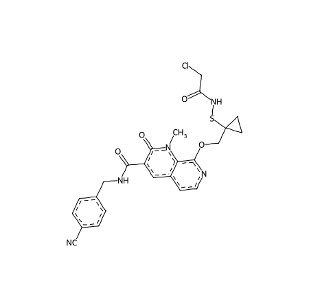 Cn1c(=O)c(C(=O)NCc2ccc(C#N)cc2)cc2ccnc(OCC3(SNC(=O)CCl)CC3)c21